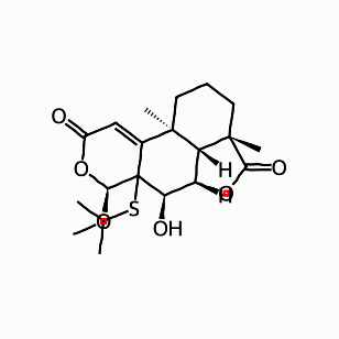 CO[C@H]1OC(=O)C=C2C1(SC(C)C)[C@H](O)[C@H]1OC(=O)[C@@]3(C)CCC[C@@]2(C)[C@@H]13